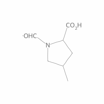 CC1CC(C(=O)O)N([C]=O)C1